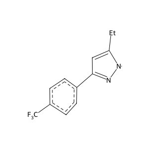 CCC1=CC(c2ccc(C(F)(F)F)cc2)=N[N]1